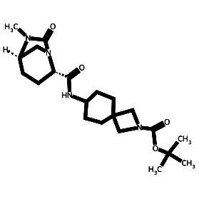 CN1C(=O)N2C[C@H]1CC[C@H]2C(=O)NC1CCC2(CC1)CN(C(=O)OC(C)(C)C)C2